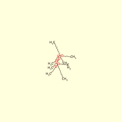 CCCCCCCCCCCCC(OCCCCCCCC)=C(OCCCCCCCC)C(CCCCC)OCOCOC(CCCCC)C(OCCCCCCCC)=C(CCCCCCCCCCCC)OCCCCCCCC